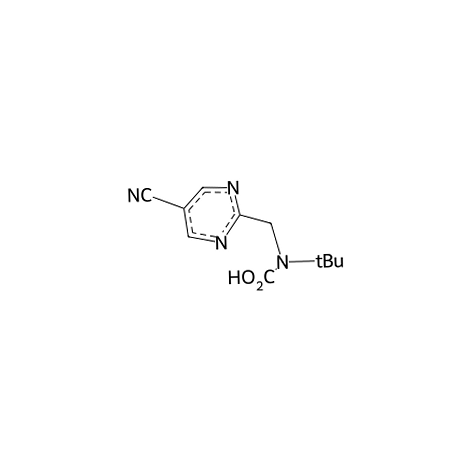 CC(C)(C)N(Cc1ncc(C#N)cn1)C(=O)O